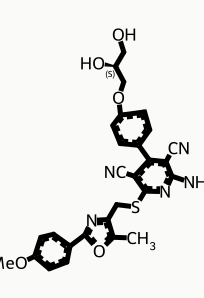 COc1ccc(-c2nc(CSc3nc(N)c(C#N)c(-c4ccc(OC[C@@H](O)CO)cc4)c3C#N)c(C)o2)cc1